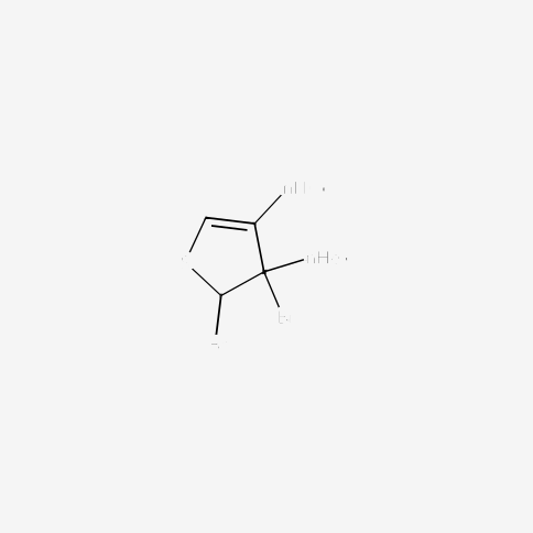 CCCCCCC1=CSC(Br)C1(Br)CCCCCC